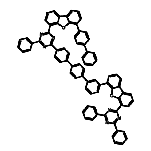 c1ccc(-c2ccc(-c3cccc4c3oc3c(-c5nc(-c6ccccc6)nc(-c6ccc(-c7ccc(-c8cccc(-c9cccc%10c9oc9c(-c%11nc(-c%12ccccc%12)nc(-c%12ccccc%12)n%11)cccc9%10)c8)cc7)cc6)n5)cccc34)cc2)cc1